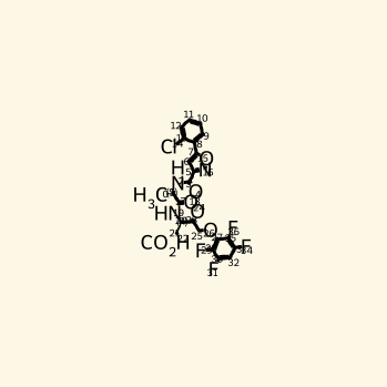 C[C@H](NC(=O)c1cc(-c2ccccc2Cl)on1)C(=O)N[C@H](CC(=O)O)C(=O)COc1c(F)c(F)cc(F)c1F